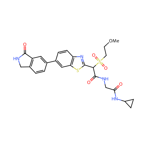 COCCS(=O)(=O)C(C(=O)NCC(=O)NC1CC1)c1nc2ccc(-c3ccc4c(c3)C(=O)NC4)cc2s1